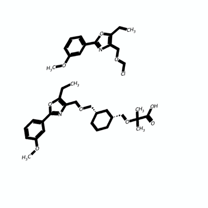 CCc1oc(-c2cccc(OC)c2)nc1COCCl.CCc1oc(-c2cccc(OC)c2)nc1COC[C@H]1CCC[C@@H](COC(C)(C)C(=O)O)C1